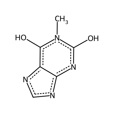 Cn1c(O)nc2ncnc-2c1O